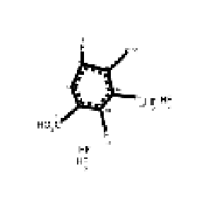 F.F.F.F.O=C(O)c1cc(F)c(F)c(F)c1F